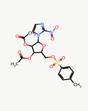 CC(=O)OC1C(COS(=O)(=O)c2ccc(C)cc2)OC(n2ccnc2[N+](=O)[O-])C1OC(C)=O